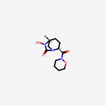 O=C([C@@H]1CC[C@@H]2CN1C(=O)N2O)N1CCCCO1